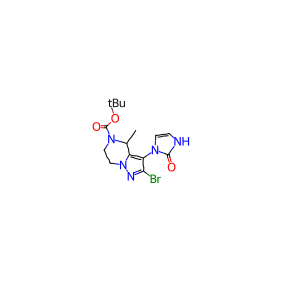 CC1c2c(-n3cc[nH]c3=O)c(Br)nn2CCN1C(=O)OC(C)(C)C